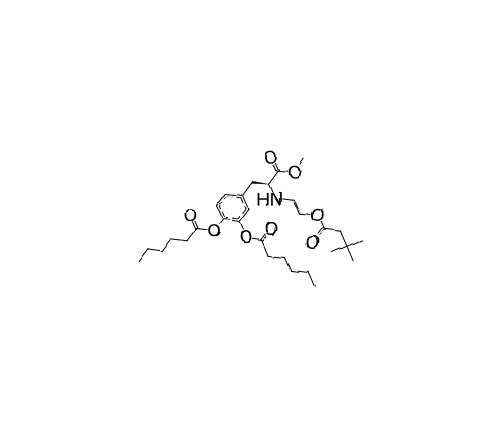 CCCCCC(=O)Oc1ccc(C[C@H](NCCOC(=O)CC(C)(C)C)C(=O)OC)cc1OC(=O)CCCCC